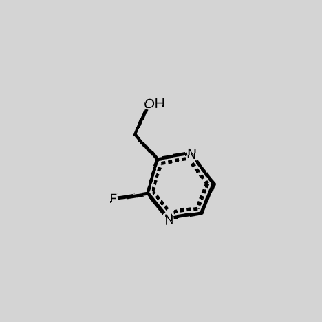 OCc1nccnc1F